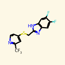 Fc1cc2nc(CSc3ccnc(C(F)(F)F)c3)[nH]c2cc1F